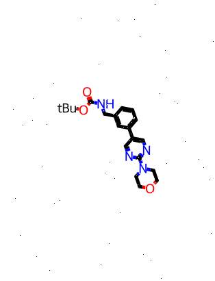 CC(C)(C)OC(=O)NCc1cccc(-c2cnc(N3CCOCC3)nc2)c1